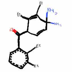 CCC1=C(CC)C(N)(N)C=CC1C(=O)c1cccc(CC)c1CC